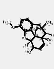 COc1ccc2c3c1O[C@H]1C(O)C=C[C@@]4(O)[C@@H](C2)N(C)CC[C@]314